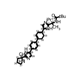 CC(C)[C@@](C)(NC(=O)C(C)(C)C)c1ncc(C2=CC=C(c3ccc(-c4cnc([C@]5(C)CCCN5)[nH]4)cc3)CC2)[nH]1